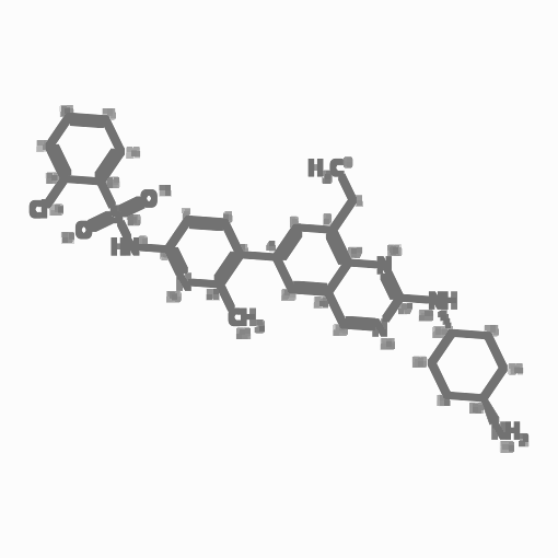 CCc1cc(-c2ccc(NS(=O)(=O)c3ccccc3Cl)nc2C)cc2cnc(N[C@H]3CC[C@H](N)CC3)nc12